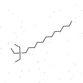 CCCCCCCCCCCC[N+](CC)(CC)CC